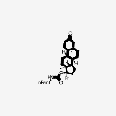 CCCCCNC(=O)O[C@]1(CC)CC[C@H]2[C@@H]3CCC4=CC(=O)C=C[C@]4(C)[C@H]3CC[C@@]21C